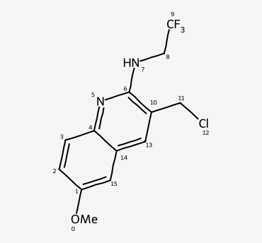 COc1ccc2nc(NCC(F)(F)F)c(CCl)cc2c1